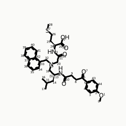 COc1ccc(C(=O)CCC(=O)N[C@@H](CC(C)C)CN(CC(=O)N[C@@H](CCSC)C(=O)O)Cc2cccc3ccccc23)cc1